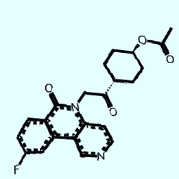 CC(=O)O[C@H]1CC[C@H](C(=O)Cn2c(=O)c3ccc(F)cc3c3cnccc32)CC1